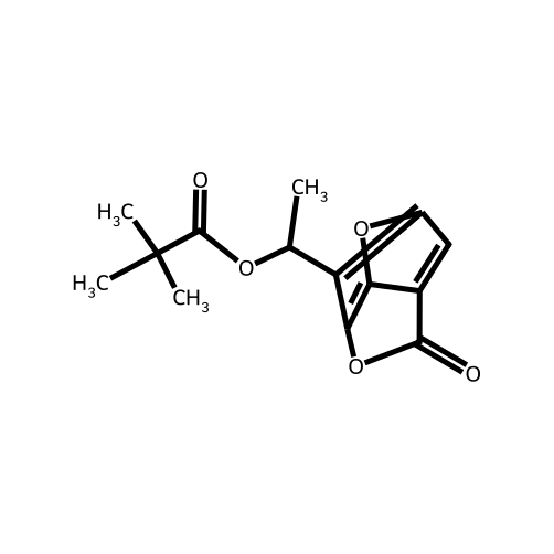 CC(OC(=O)C(C)(C)C)c1c2c3oc1cc3C(=O)O2